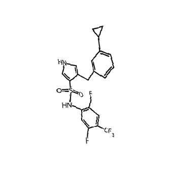 O=S(=O)(Nc1cc(F)c(C(F)(F)F)cc1F)c1c[nH]cc1Cc1cccc(C2CC2)c1